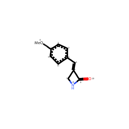 COc1ccc(C=C2CNC2=O)cc1